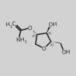 C=C(N)O[C@H]1CO[C@@H](CO)[C@@H]1O